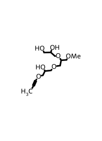 CC#COCC(O)COCC(COC)OCC(O)CO